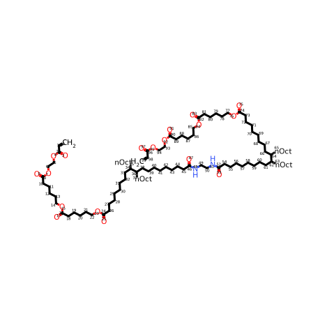 C=CC(=O)OCCOC(=O)CCCCCOC(=O)CCCCCOC(=O)CCCCCCCCC(CCCCCCCC)C(CCCCCCCC)CCCCCCCCC(=O)NCCNC(=O)CCCCCCCCC(CCCCCCCC)C(CCCCCCCC)CCCCCCCCC(=O)OCCCCCC(=O)OCCCCCC(=O)OCCOC(=O)C=C